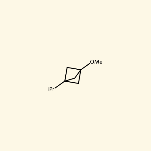 COC12CC(C(C)C)(C1)C2